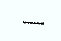 COCCCCCCCCCCOCCOC